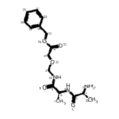 C[C@H](N)C(=O)N[C@@H](C)C(=O)NCOCC(=O)OCc1ccccc1